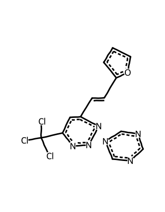 ClC(Cl)(Cl)c1cc(C=Cc2ccco2)nnn1.c1ncncn1